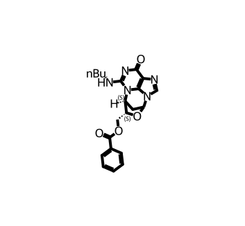 CCCCNc1nc(=O)c2ncn3c2n1[C@H]1CC3O[C@@H]1COC(=O)c1ccccc1